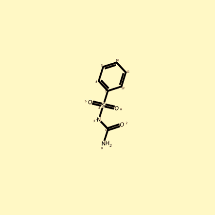 NC(=O)[N]S(=O)(=O)c1ccccc1